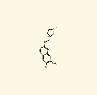 C[C@H]1CC[C@@H](COc2ccc3cc(Br)c(N)nc3c2)C1